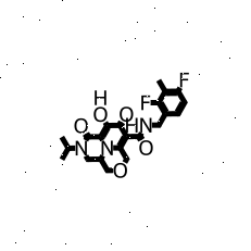 Cc1c(F)ccc(CNC(=O)c2c3n4c(c(O)c2=O)C(=O)N(C(C)C)CC4COC3)c1F